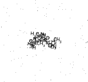 Cc1ccc(C#N)c([C@]2(C)C[C@H](NC(=O)c3cn([C@@H](C)c4cnc(N5C[C@H]6C[C@H]6C5=O)c(C)c4C)nn3)C2)c1